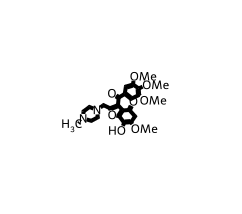 COC1=C(O)c2oc(CN3CCN(C)CC3)c(C(=O)c3cc(OC)c(OC)c(OC)c3)c2C(=O)C1